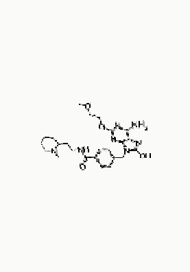 COCCOc1nc(N)c2nc(O)n(Cc3ccc(C(=O)NCCC4CCCCN4C)cc3)c2n1